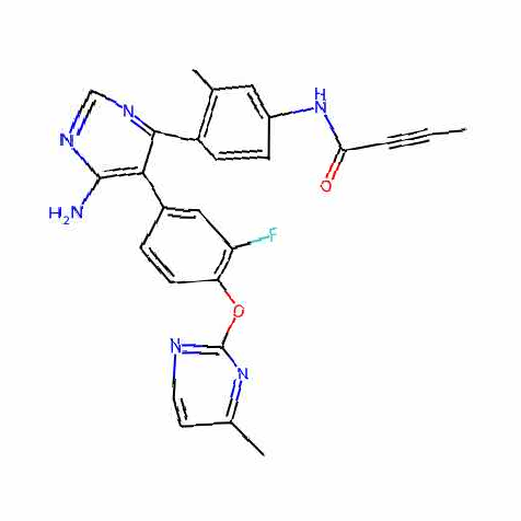 CC#CC(=O)Nc1ccc(-c2ncnc(N)c2-c2ccc(Oc3nccc(C)n3)c(F)c2)c(C)c1